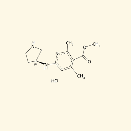 COC(=O)c1c(C)cc(N[C@H]2CCNC2)nc1C.Cl